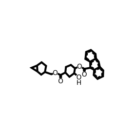 O=C(OC1CCC(C(=O)OCC2CCC3CC3C2)CC1O)c1c2ccccc2cc2ccccc12